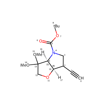 C#CC1CN(C(=O)OC(C)(C)C)[C@H]2[C@@H]1OCC2(OC)OC